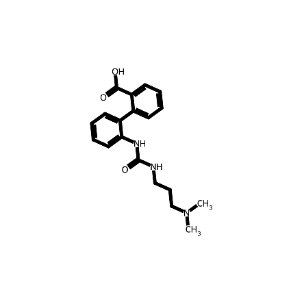 CN(C)CCCNC(=O)Nc1ccccc1-c1ccccc1C(=O)O